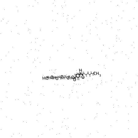 CCCCCCCC(=O)Nc1ccc(C(=O)OCCOCCOCCOCCOCCO)cc1